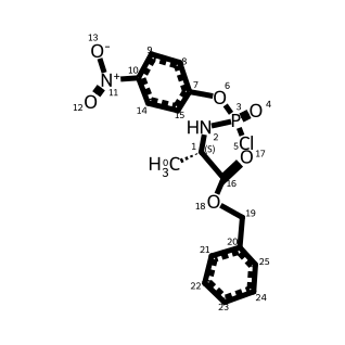 C[C@H](NP(=O)(Cl)Oc1ccc([N+](=O)[O-])cc1)C(=O)OCc1ccccc1